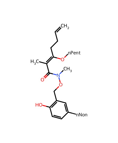 C=CCCC(OCCCCC)=C(C)C(=O)N(C)OCc1cc(CCCCCCCCC)ccc1O